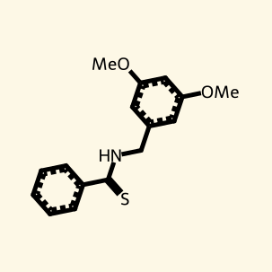 COc1cc(CNC(=S)c2ccccc2)cc(OC)c1